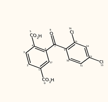 O=C(O)c1ccc(C(=O)O)c(C(=O)c2ccc(Cl)cc2Cl)c1